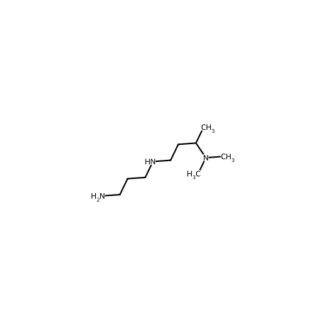 CC(CCNCCCN)N(C)C